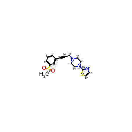 CS(=O)(=O)c1cccc(C#CCN2CCN(c3nccs3)CC2)c1